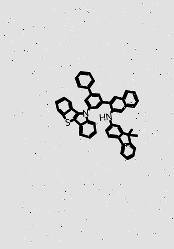 CC1(C)c2ccccc2-c2ccc(Nc3cc4ccccc4cc3-c3cc(-c4ccccc4)cc(-n4c5ccccc5c5sc6ccccc6c54)c3)cc21